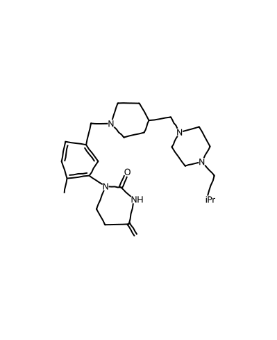 C=C1CCN(c2cc(CN3CCC(CN4CCN(CC(C)C)CC4)CC3)ccc2C)C(=O)N1